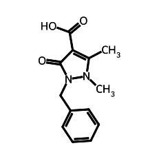 Cc1c(C(=O)O)c(=O)n(Cc2ccccc2)n1C